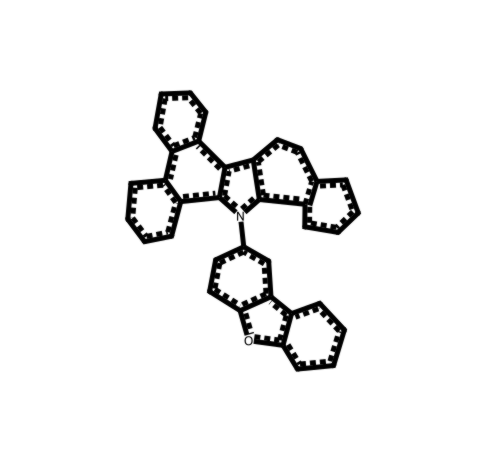 c1ccc2c(c1)ccc1c3c4ccccc4c4ccccc4c3n(-c3ccc4oc5ccccc5c4c3)c21